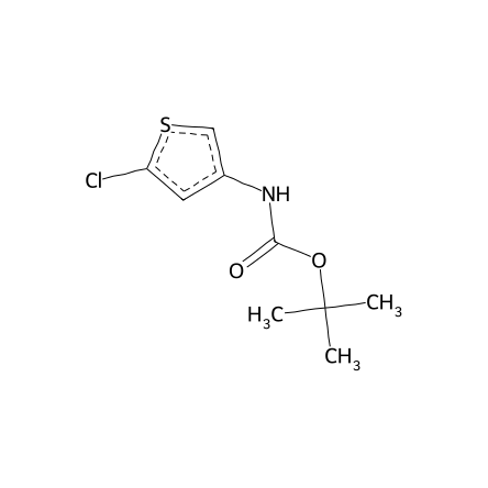 CC(C)(C)OC(=O)Nc1csc(Cl)c1